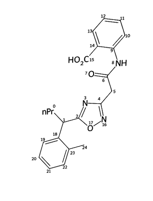 CCCC(c1nc(CC(=O)Nc2ccccc2C(=O)O)no1)c1ccccc1C